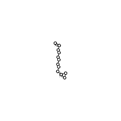 c1cc(-c2ccc3cc(-c4ccc5cc(-c6ccc7cc(-c8cccc9c8oc8ccccc89)ccc7c6)ccc5c4)ccc3c2)cc(-c2cnc3c4ccccc4c4ccccc4c3n2)c1